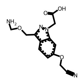 N#CCOc1ccc2c(COCN)nn(CC(=O)O)c2c1